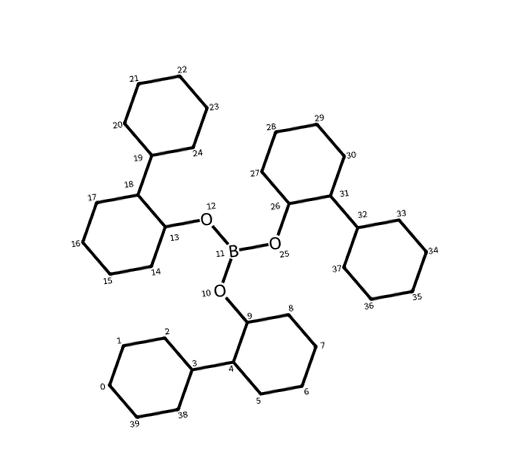 C1CCC(C2CCCCC2OB(OC2CCCCC2C2CCCCC2)OC2CCCCC2C2CCCCC2)CC1